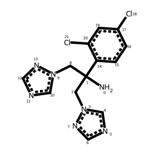 NC(Cn1cncn1)(Cn1cncn1)c1ccc(Cl)cc1Cl